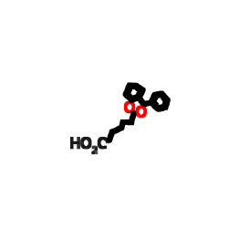 O=C(O)CCCCCC(=O)OC(c1ccccc1)c1ccccc1